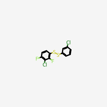 Fc1ccc(SSc2cccc(Cl)c2)c(F)c1Cl